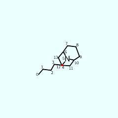 CCCCCN1C2CCCC1CCC2